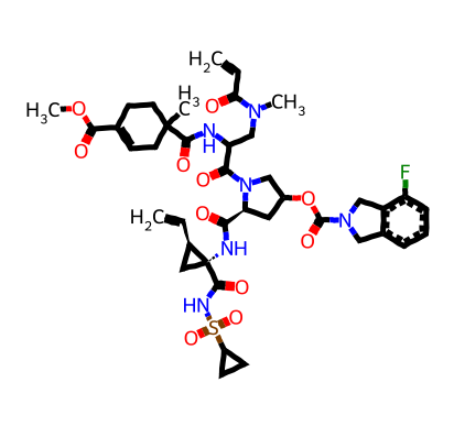 C=CC(=O)N(C)CC(NC(=O)C1(C)CC=C(C(=O)OC)CC1)C(=O)N1CC(OC(=O)N2Cc3cccc(F)c3C2)C[C@H]1C(=O)N[C@]1(C(=O)NS(=O)(=O)C2CC2)C[C@H]1C=C